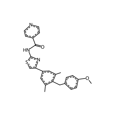 COc1ccc(Cc2c(C)cc(-c3csc(NC(=O)c4ccncc4)n3)cc2C)cc1